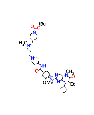 CC[C@@H]1C(=O)N(C)c2cnc(Nc3ccc(C(=O)NC4CCN(CCCN(C)CC5CCN(C(=O)OC(C)(C)C)CC5)CC4)cc3OC)nc2N1C1CCCC1